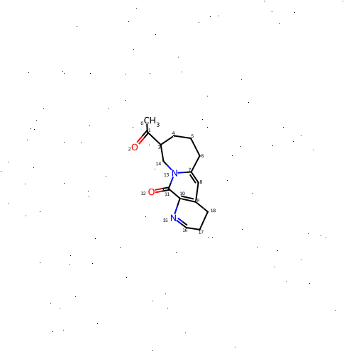 CC(=O)C1CCCc2cc3c(c(=O)n2C1)N=CCC3